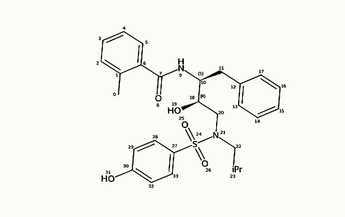 Cc1ccccc1C(=O)N[C@@H](Cc1ccccc1)[C@H](O)CN(CC(C)C)S(=O)(=O)c1ccc(O)cc1